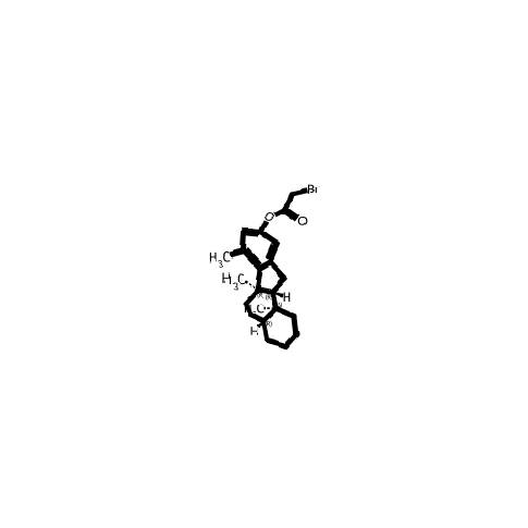 Cc1cc(OC(=O)CBr)cc2c1[C@]1(C)CC[C@H]3CCCC[C@]3(C)[C@H]1C2